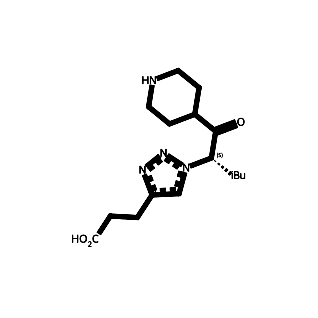 CCC(C)[C@@H](C(=O)C1CCNCC1)n1cc(CCC(=O)O)nn1